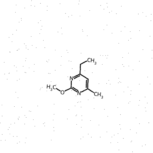 CCc1cc(C)nc(OC)n1